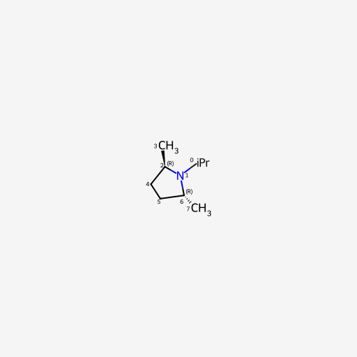 CC(C)N1[C@H](C)CC[C@H]1C